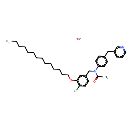 Br.CCCCCCCCCCCCCCOc1cc(CN(C(C)=O)c2ccc(Cc3cccnc3)cc2)ccc1Cl